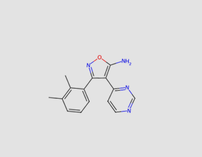 Cc1cccc(-c2noc(N)c2-c2ccncn2)c1C